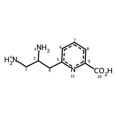 NCC(N)Cc1cccc(C(=O)O)n1